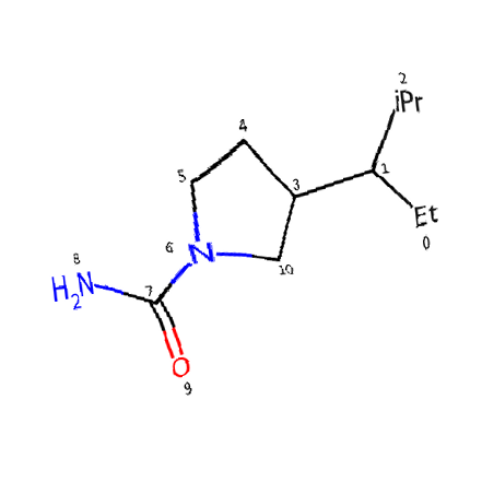 CCC(C(C)C)C1CCN(C(N)=O)C1